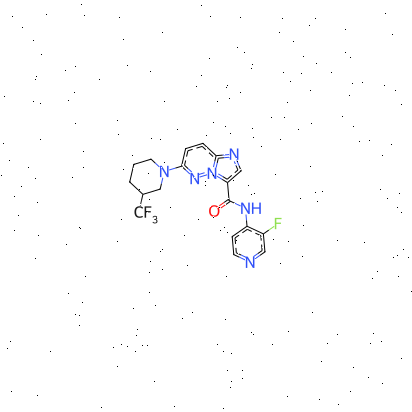 O=C(Nc1ccncc1F)c1cnc2ccc(N3CCCC(C(F)(F)F)C3)nn12